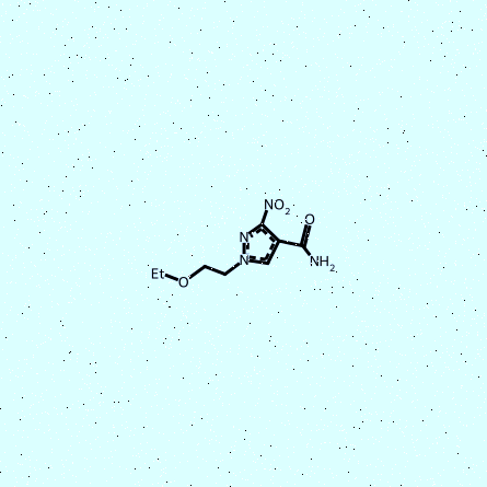 CCOCCn1cc(C(N)=O)c([N+](=O)[O-])n1